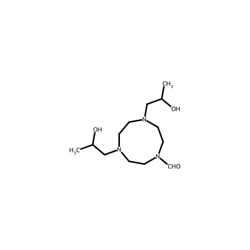 CC(O)CN1CCN(C=O)CCN(CC(C)O)CC1